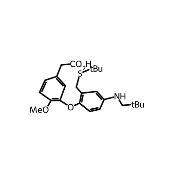 COc1ccc(CC(=O)O)cc1Oc1ccc(NCC(C)(C)C)cc1CSC(C)(C)C